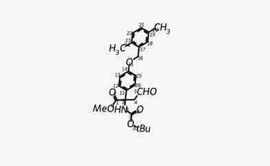 COC(=O)C(CC=O)(NC(=O)OC(C)(C)C)c1ccc(OCc2cc(C)ccc2C)cc1